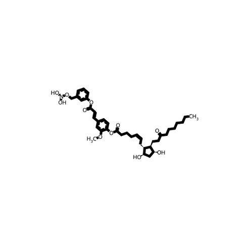 CCCCCCCC(=O)CC[C@@H]1[C@@H](C/C=C\CCCC(=O)Oc2ccc(/C=C/C(=O)Oc3cccc(CON(O)O)c3)cc2OC)[C@@H](O)C[C@H]1O